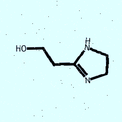 OCCC1=NCCN1